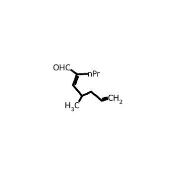 C=CCC(C)/C=C(/C=O)CCC